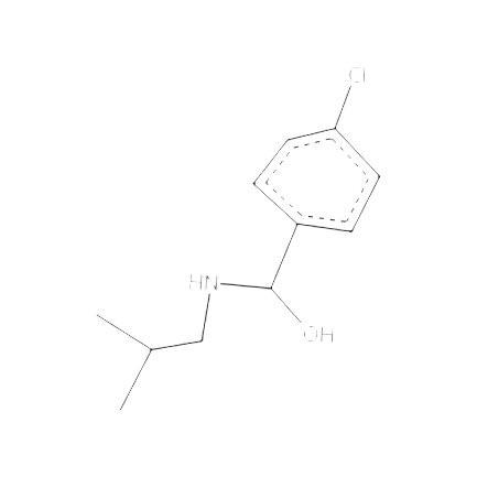 CC(C)CNC(O)c1ccc(Cl)cc1